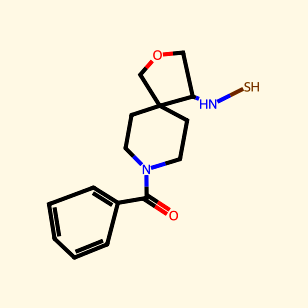 O=C(c1ccccc1)N1CCC2(CC1)COCC2NS